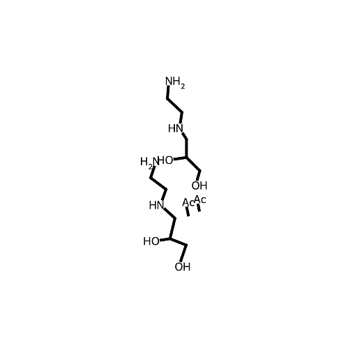 CC(C)=O.CC(C)=O.NCCNCC(O)CO.NCCNCC(O)CO